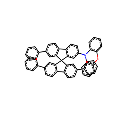 c1ccc(-c2ccc3c(c2)C2(c4cc(-c5ccccc5)ccc4-3)c3cc(-c4ccccc4)ccc3-c3ccc(N4c5ccccc5Oc5ccccc54)cc32)cc1